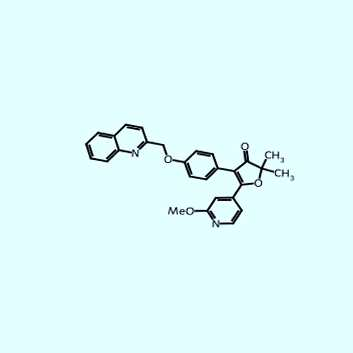 COc1cc(C2=C(c3ccc(OCc4ccc5ccccc5n4)cc3)C(=O)C(C)(C)O2)ccn1